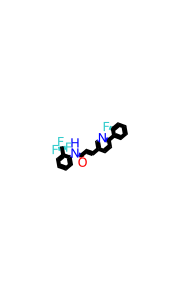 O=C(C=Cc1ccc(-c2ccccc2F)nc1)Nc1ccccc1C(F)(F)F